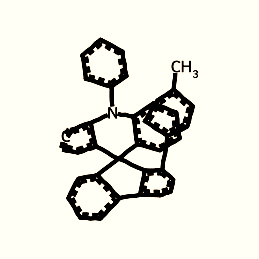 Cc1ccc(-c2cccc3c2C2(c4ccccc4-3)c3ccccc3N(c3ccccc3)c3ccccc32)cc1